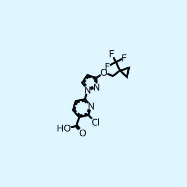 O=C(O)c1ccc(-n2ccc(OCC3(C(F)(F)F)CC3)n2)nc1Cl